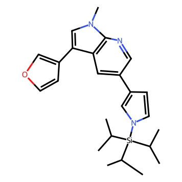 CC(C)[Si](C(C)C)(C(C)C)n1ccc(-c2cnc3c(c2)c(-c2ccoc2)cn3C)c1